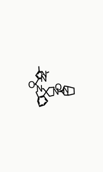 Cc1cc(C(=O)N2Cc3ccccc3C3(CCN(C4CC5CCC(C4)N5C=O)CC3)C2)nn1C